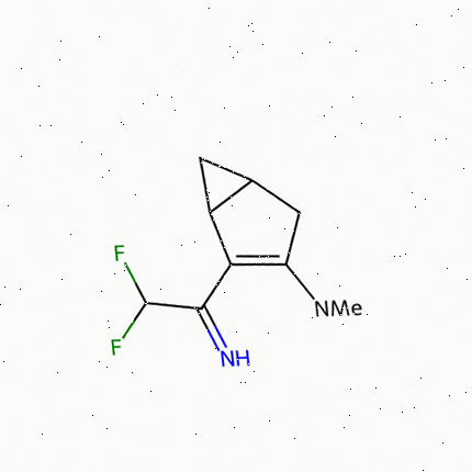 CNC1=C(C(=N)C(F)F)C2CC2C1